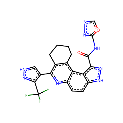 O=C(Nc1nnco1)c1n[nH]c2ccc3nc(-c4c[nH]nc4C(F)(F)F)c4c(c3c12)CCCC4